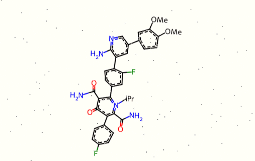 COc1ccc(-c2cnc(N)c(-c3ccc(-c4c(C(N)=O)c(=O)c(-c5ccc(F)cc5)c(C(N)=O)n4C(C)C)cc3F)c2)cc1OC